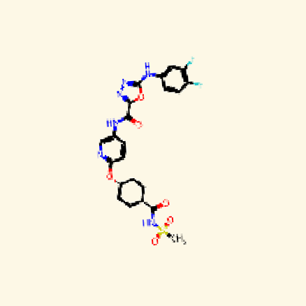 CS(=O)(=O)NC(=O)[C@H]1CC[C@H](Oc2ccc(NC(=O)c3nnc(Nc4ccc(F)c(F)c4)o3)cn2)CC1